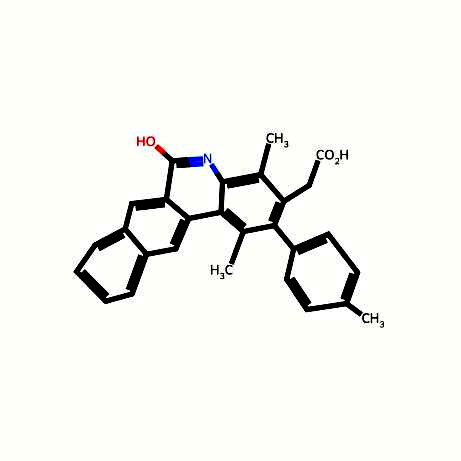 Cc1ccc(-c2c(CC(=O)O)c(C)c3nc(O)c4cc5ccccc5cc4c3c2C)cc1